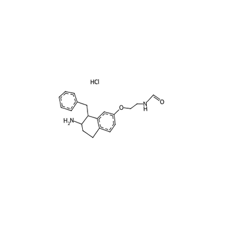 Cl.NC1CCc2ccc(OCCNC=O)cc2C1Cc1ccccc1